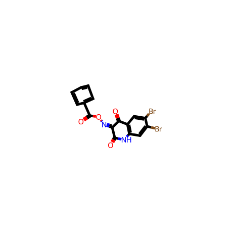 O=C1Nc2cc(Br)c(Br)cc2C(=O)C1=NOC(=O)c1ccccc1